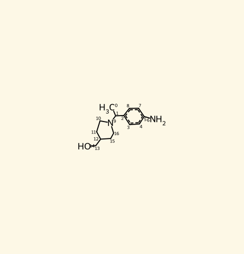 CC(c1ccc(N)cc1)N1CCC(CO)CC1